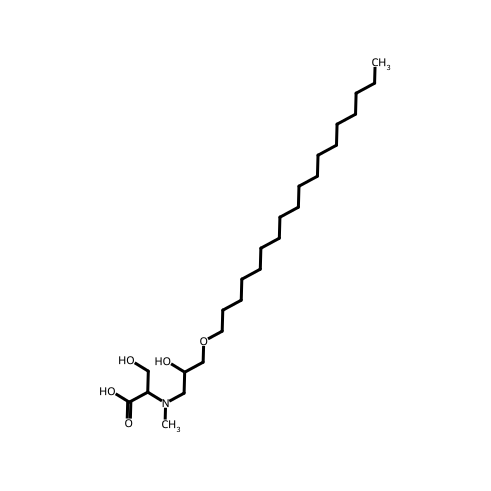 CCCCCCCCCCCCCCCCCCOCC(O)CN(C)C(CO)C(=O)O